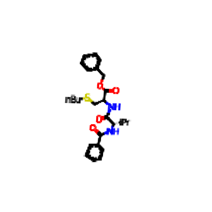 CCCCSC[C@H](NC(=O)[C@@H](NC(=O)c1ccccc1)C(C)C)C(=O)OCc1ccccc1